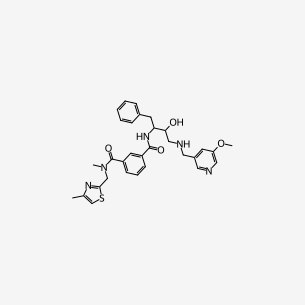 COc1cncc(CNCC(O)C(Cc2ccccc2)NC(=O)c2cccc(C(=O)N(C)Cc3nc(C)cs3)c2)c1